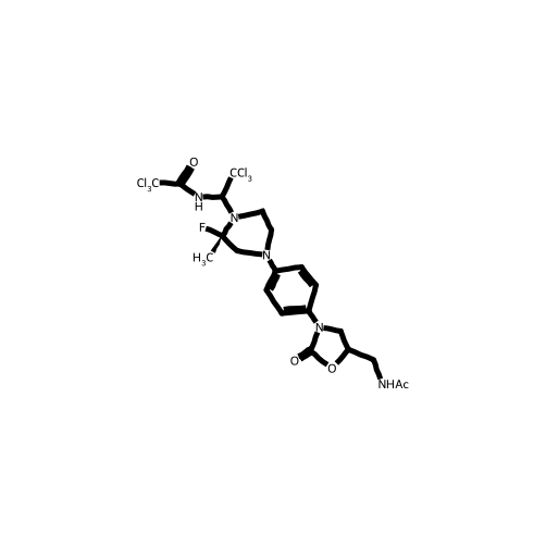 CC(=O)NCC1CN(c2ccc(N3CCN(C(NC(=O)C(Cl)(Cl)Cl)C(Cl)(Cl)Cl)[C@@](C)(F)C3)cc2)C(=O)O1